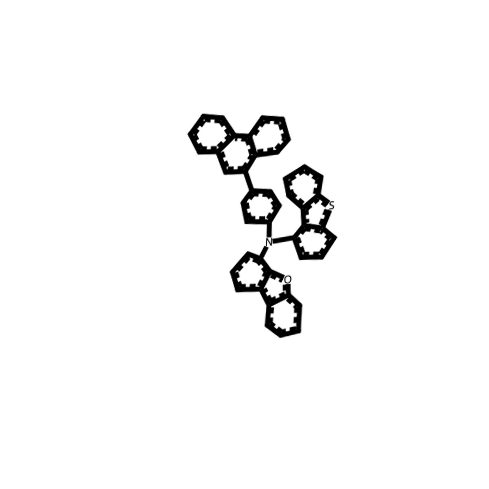 c1ccc2c(c1)cc(-c1ccc(N(c3cccc4c3oc3ccccc34)c3cccc4sc5ccccc5c34)cc1)c1ccccc12